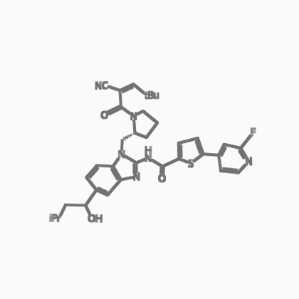 CC(C)CC(O)c1ccc2c(c1)nc(NC(=O)c1ccc(-c3ccnc(F)c3)s1)n2C[C@H]1CCCN1C(=O)C(C#N)=CC(C)(C)C